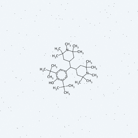 CN1C(C)(C)CC(C(c2cc(C(C)(C)C)c(O)c(C(C)(C)C)c2)C2CC(C)(C)N(C)C(C)(C)C2)CC1(C)C